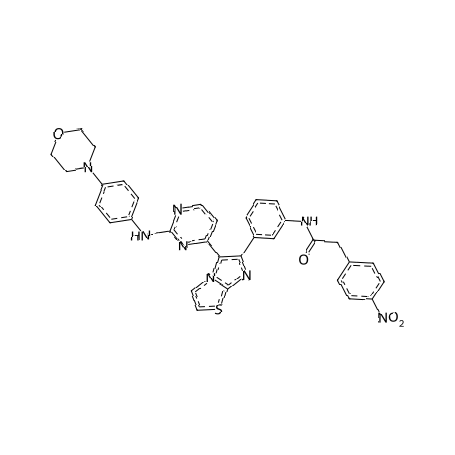 O=C(Cc1ccc([N+](=O)[O-])cc1)Nc1cccc(-c2nc3sccn3c2-c2ccnc(Nc3ccc(N4CCOCC4)cc3)n2)c1